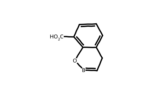 O=C(O)c1cccc2c1OB=CC2